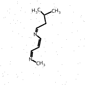 C\N=C/C=C\N=C/CC(C)C